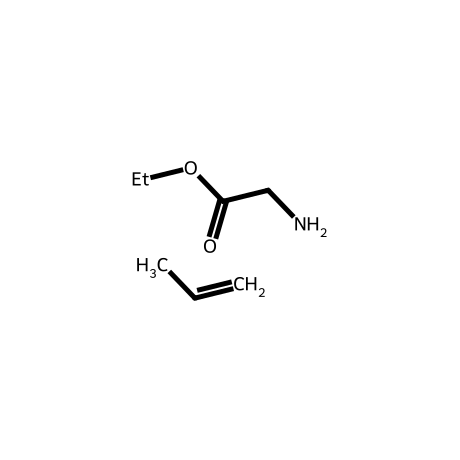 C=CC.CCOC(=O)CN